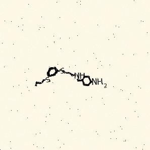 C/C=C/CSc1cccc(SCCCNCC2CCC(N)CC2)c1